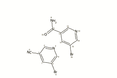 N#Cc1cncc(Br)c1.NC(=O)c1cncc(Br)c1